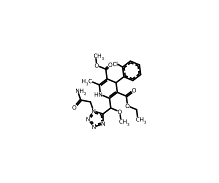 CCOC(=O)C1=C(C(OC)c2nnnn2CC(N)=O)NC(C)=C(C(=O)OC)C1c1ccccc1Cl